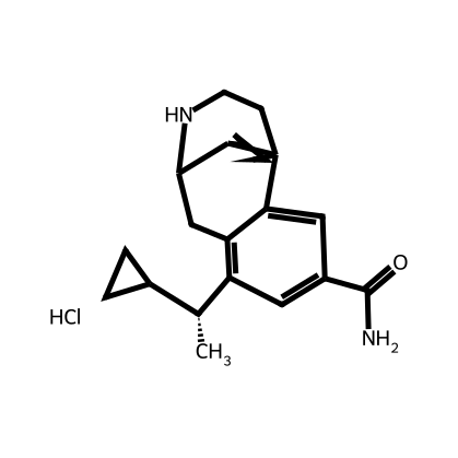 C[C@@H](c1cc(C(N)=O)cc2c1CC1NCCC23CCCCC13)C1CC1.Cl